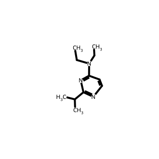 CCN(CC)c1ccnc(C(C)C)n1